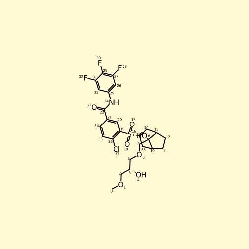 COC[C@@H](O)COC[C@]1(O)C2CCC1C[C@@H](S(=O)(=O)c1cc(C(=O)Nc3cc(F)c(F)c(F)c3)ccc1Cl)C2